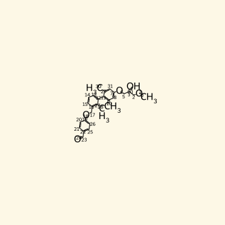 COC[C@@H](O)COc1cc(C)c(-c2cccc(COc3ccc(C=O)cc3)c2C)c(C)c1